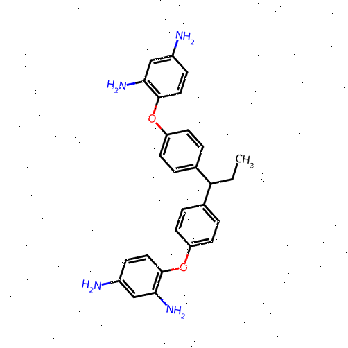 CCC(c1ccc(Oc2ccc(N)cc2N)cc1)c1ccc(Oc2ccc(N)cc2N)cc1